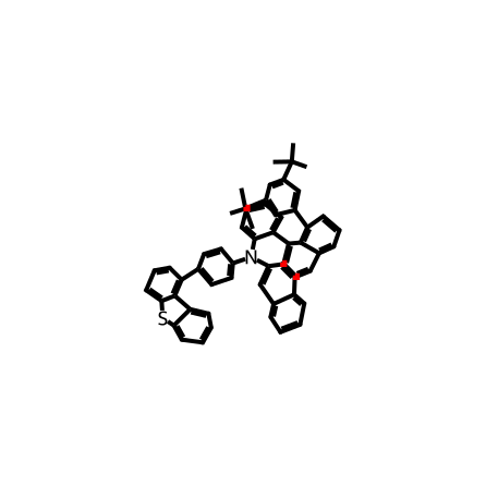 CC(C)(C)c1cc(-c2cccc3cccc(-c4ccccc4N(c4ccc(-c5cccc6sc7ccccc7c56)cc4)c4ccc5ccccc5c4)c23)cc(C(C)(C)C)c1